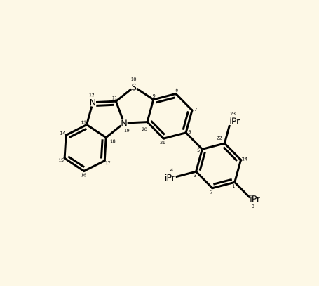 CC(C)c1cc(C(C)C)c(-c2ccc3sc4nc5ccccc5n4c3c2)c(C(C)C)c1